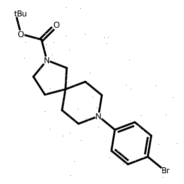 CC(C)(C)OC(=O)N1CCC2(CCN(c3ccc(Br)cc3)CC2)C1